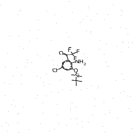 CC(C)(C)[Si](C)(C)Oc1cc(Cl)cc(C(=O)C(F)(F)F)c1N